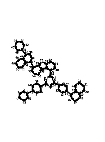 c1ccc(-c2ccc(-c3nc(-c4ccc(-c5cccc6ccccc56)cc4)nc(-c4cccc5oc6c(-c7ccc(-c8ccccc8)c8ccccc78)cccc6c45)n3)cc2)cc1